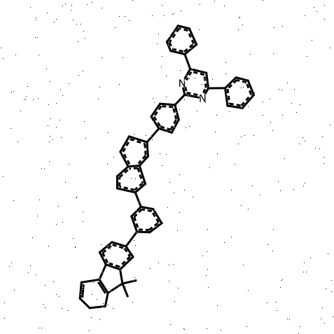 CC1(C)C2=C(C=CCC2)c2ccc(-c3cccc(-c4ccc5ccc(-c6ccc(-c7nc(-c8ccccc8)cc(-c8ccccc8)n7)cc6)cc5c4)c3)cc21